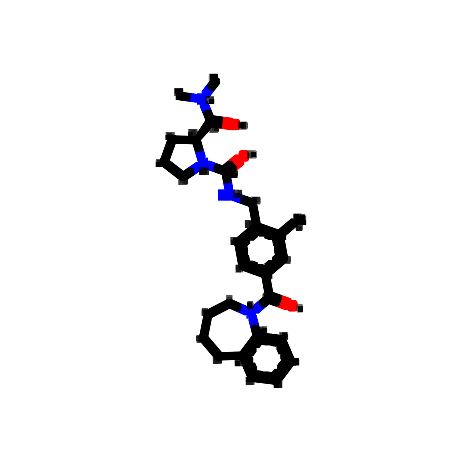 CCc1cc(C(=O)N2CCCCc3ccccc32)ccc1CNC(=O)N1CCC[C@H]1C(=O)N(C)C